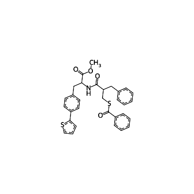 COC(=O)C(Cc1ccc(-c2cccs2)cc1)NC(=O)C(CSC(=O)c1ccccc1)Cc1ccccc1